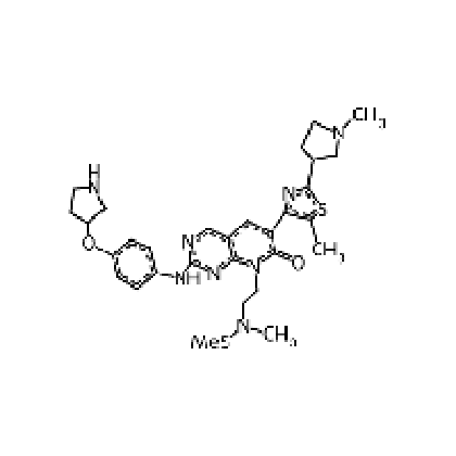 CSN(C)CCn1c(=O)c(-c2nc(C3CCN(C)C3)sc2C)cc2cnc(Nc3ccc(OC4CCNC4)cc3)nc21